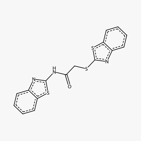 O=C(CSc1nc2ccccc2s1)Nc1nc2ccccc2s1